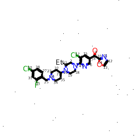 CC[C@H]1CN(c2ncc(C(=O)c3ncco3)cc2Cl)CCN1C1CCN(Cc2ccc(Cl)cc2F)CC1